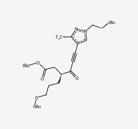 CCCCOCCC[C@@H](CC(=O)OC(C)(C)C)C(=O)C#Cc1cn(CCC(C)(C)C)nc1C(F)(F)F